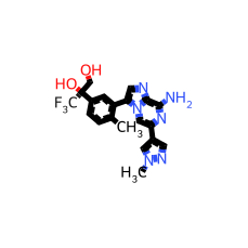 Cc1ccc(C(O)(CO)C(F)(F)F)cc1-c1cnc2c(N)nc(-c3cnn(C)c3)cn12